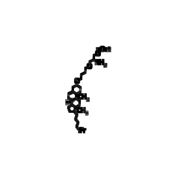 CCCCCCCCOCC(N)COCCCCOC1CCC2(C)C(=CC[C@@H]3C2CCC2(C)C(CCCCC(C)C)CCC32)C1